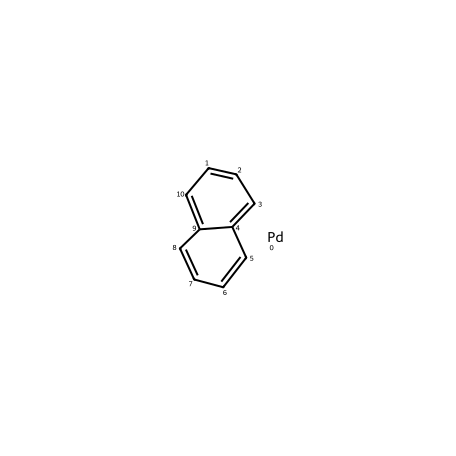 [Pd].c1ccc2ccccc2c1